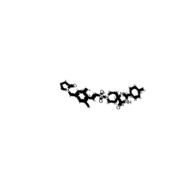 Cc1cc(CN2CCCC2=O)cc(C)c1C=CS(=O)(=O)N1CCC2(CC1)N=C(C1CCC(C)CC1)NC2=O